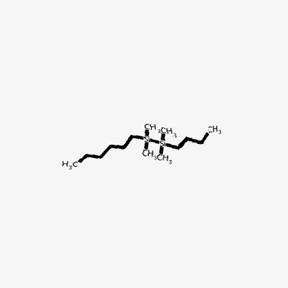 CCCCCC[Si](C)(C)[Si](C)(C)CCCC